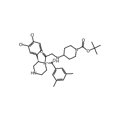 Cc1cc(C)cc(C(=O)[N+]2(C(=O)CNC3CCN(C(=O)OC(C)(C)C)CC3)CCNC[C@H]2c2ccc(Cl)c(Cl)c2)c1